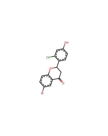 O=C1CC(c2ccc(O)cc2Cl)Oc2ccc(Br)cc21